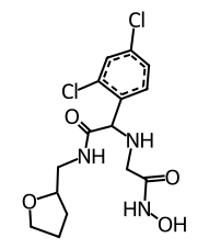 O=C(CNC(C(=O)NCC1CCCO1)c1ccc(Cl)cc1Cl)NO